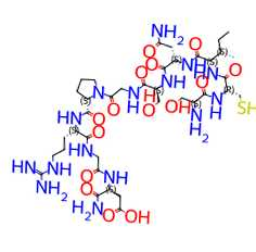 CC[C@H](C)[C@H](NC(=O)[C@H](CS)NC(=O)[C@@H](N)CO)C(=O)N[C@@H](CC(N)=O)C(=O)N[C@@H](CO)C(=O)NCC(=O)N1CCC[C@H]1C(=O)N[C@@H](CCCNC(=N)N)C(=O)NCC(=O)N[C@@H](CC(=O)O)C(N)=O